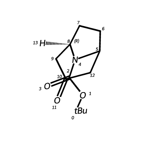 CC(C)(C)OC(=O)N1C2CC[C@@H]1CC(=O)C2